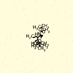 C=CCC(C(CO)O[Si](C)(C)C(C)(C)C)C1(NC(=O)OC(C)(C)C)CC1